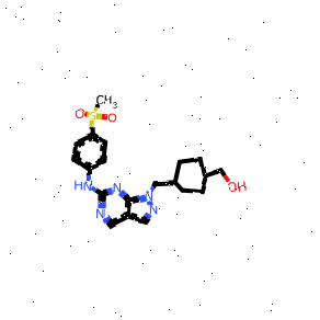 CS(=O)(=O)c1ccc(Nc2ncc3cnn(CC4CCC(CO)CC4)c3n2)cc1